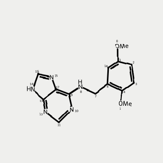 COc1ccc(OC)c(CNc2ncnc3[nH]cnc23)c1